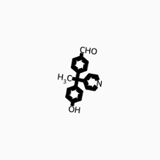 CC(c1ccncc1)(c1ccc(O)cc1)c1ccc(C=O)cc1